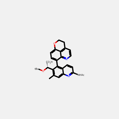 CC(=O)Nc1ccc2c(-c3ccc4c5c(ccnc35)CCO4)c([C@H](OC(C)(C)C)C(=O)O)c(C)cc2n1